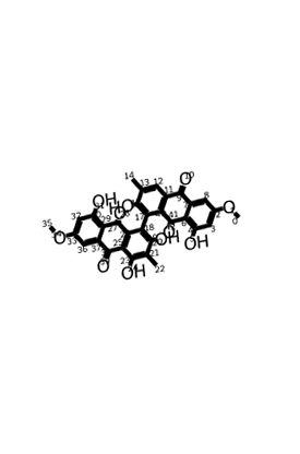 COc1cc(O)c2c(c1)C(=O)c1cc(C)c(O)c(-c3c(O)c(C)c(O)c4c3C(=O)c3c(O)cc(OC)cc3C4=O)c1C2=O